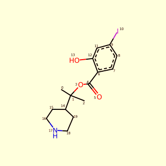 CC(C)(OC(=O)c1ccc(I)cc1O)C1CCNCC1